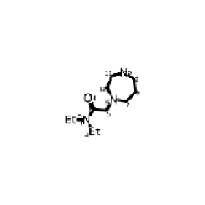 CCN(CC)C(=O)CN1CCC[N]CC1